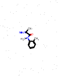 Cc1ccccc1N(C)C(=O)C(C#N)=[N+]=[N-]